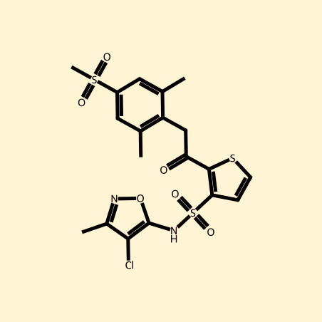 Cc1cc(S(C)(=O)=O)cc(C)c1CC(=O)c1sccc1S(=O)(=O)Nc1onc(C)c1Cl